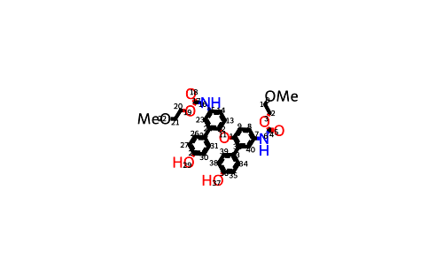 COCCOC(=O)Nc1ccc(Oc2ccc(NC(=O)OCCOC)cc2-c2ccc(O)cc2)c(-c2ccc(O)cc2)c1